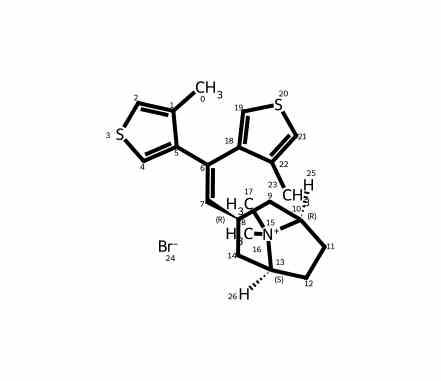 Cc1cscc1C(=C[C@H]1C[C@H]2CC[C@@H](C1)[N+]2(C)C)c1cscc1C.[Br-]